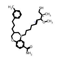 COC(/C=C/CCCCN1CC(CCCc2cccc(C)c2)COc2ccc(C(N)=O)cc21)[C@H](C)CS